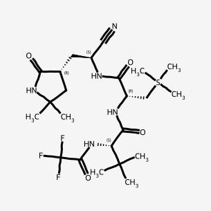 CC1(C)C[C@@H](C[C@@H](C#N)NC(=O)[C@H](CS(C)(C)C)NC(=O)[C@@H](NC(=O)C(F)(F)F)C(C)(C)C)C(=O)N1